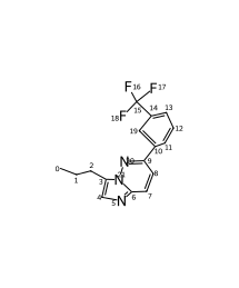 CCCc1cnc2ccc(-c3cccc(C(F)(F)F)c3)nn12